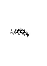 CC(=O)C(C)(Cl)c1ccc(OC(F)(F)F)cc1